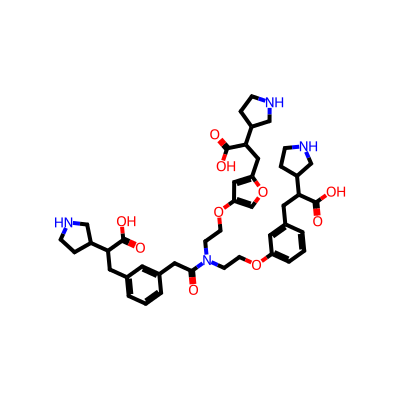 O=C(O)C(Cc1cccc(CC(=O)N(CCOc2cccc(CC(C(=O)O)C3CCNC3)c2)CCOc2coc(CC(C(=O)O)C3CCNC3)c2)c1)C1CCNC1